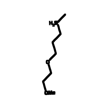 COCCOCCC[SiH2]C